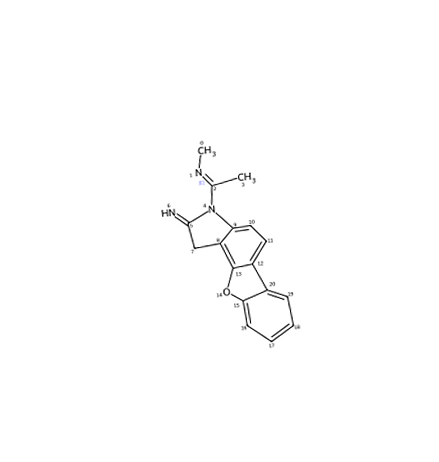 C/N=C(\C)N1C(=N)Cc2c1ccc1c2oc2ccccc21